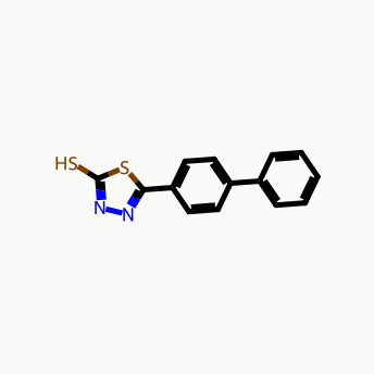 Sc1nnc(-c2ccc(-c3ccccc3)cc2)s1